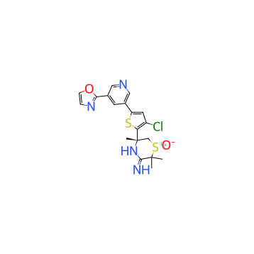 CC1(C)C(=N)N[C@](C)(c2sc(-c3cncc(-c4ncco4)c3)cc2Cl)C[S+]1[O-]